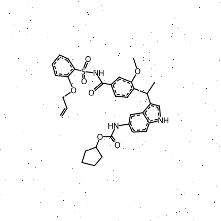 C=CCOc1ccccc1S(=O)(=O)NC(=O)c1ccc(C(C)c2c[nH]c3ccc(NC(=O)OC4CCCC4)cc23)c(OC)c1